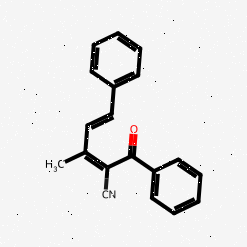 CC(C=Cc1ccccc1)=C(C#N)C(=O)c1ccccc1